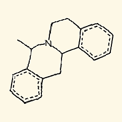 CC1c2ccccc2CC2c3ccccc3CCN12